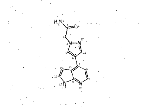 NC(=O)Cn1cc(-c2ccnc3[nH]ccc23)cn1